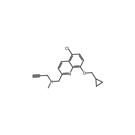 C#CCN(C)Cc1ccc2c(Cl)ccc(OCC3CC3)c2n1